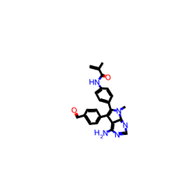 C=C(C)C(=O)Nc1ccc(-c2c(-c3ccc(C=O)cc3)c3c(N)ncnc3n2C)cc1